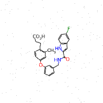 Cc1cc(Oc2cccc(CNC(=O)c3cc4cc(F)ccc4[nH]3)c2)ccc1CCC(=O)O